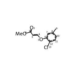 COC(=O)C=COc1cc(C)ccc1Cl